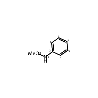 [CH2]ONc1ccccc1